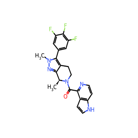 C[C@H]1c2nn(C)c(-c3cc(F)c(F)c(F)c3)c2CCN1C(=O)c1nccc2[nH]ccc12